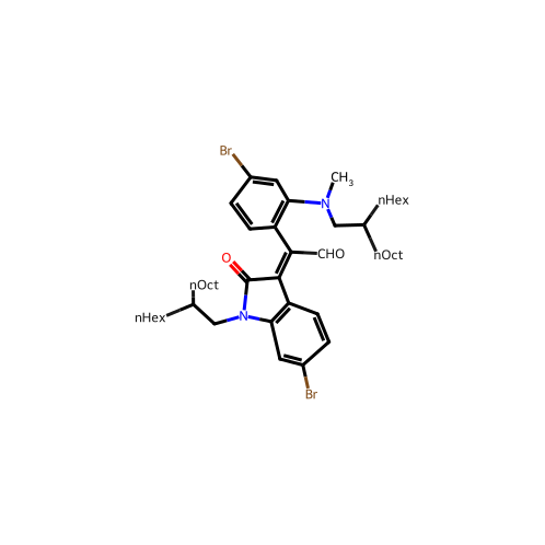 CCCCCCCCC(CCCCCC)CN(C)c1cc(Br)ccc1/C(C=O)=C1\C(=O)N(CC(CCCCCC)CCCCCCCC)c2cc(Br)ccc21